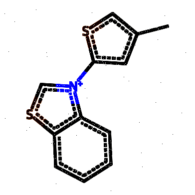 Cc1csc(-[n+]2csc3ccccc32)c1